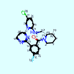 C[C@@H]1CCCN(C(=O)c2ccc(F)cc2-c2ncccn2)[C@@H]1CNc1ccc(Cl)cn1